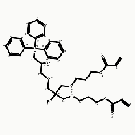 C=CC(=O)OCCCOCC(CC)(COCCCOC(=O)C=C)COCC(O)C[PH](c1ccccc1)(c1ccccc1)c1ccccc1